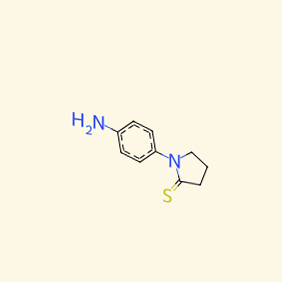 Nc1ccc(N2CCCC2=S)cc1